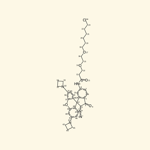 [N-]=[N+]=C1C(=O)c2ccc(NC(=O)CCOCCOCCCCCCCl)cc2C12c1ccc(N3CCC3)cc1Oc1cc(N3CCC3)ccc12